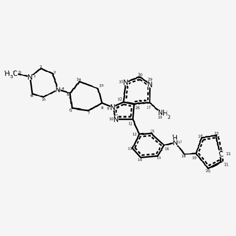 CN1CCN(C2CCC(n3nc(-c4cccc(NCc5ccccc5)c4)c4c(N)ncnc43)CC2)CC1